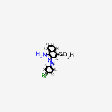 Nc1c(/N=N/c2ccc(Br)cc2)cc(S(=O)(=O)O)c2ccccc12